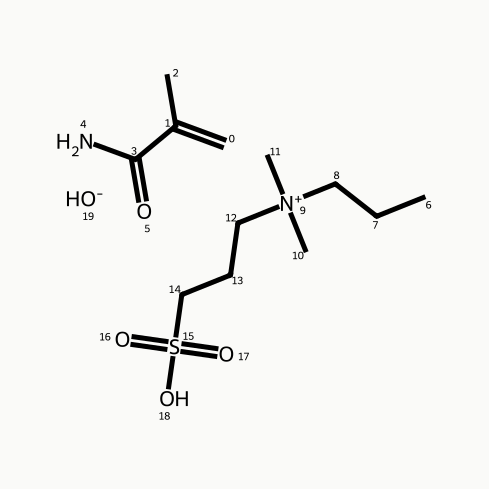 C=C(C)C(N)=O.CCC[N+](C)(C)CCCS(=O)(=O)O.[OH-]